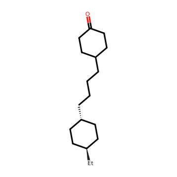 CC[C@H]1CC[C@H](CCCCC2CCC(=O)CC2)CC1